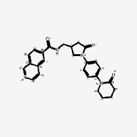 O=C(NCC1CC(=O)N(c2ccc(N3CCCCC3=O)cc2)C1)c1ccc2cnccc2c1